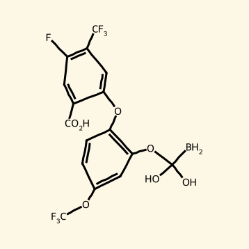 BC(O)(O)Oc1cc(OC(F)(F)F)ccc1Oc1cc(C(F)(F)F)c(F)cc1C(=O)O